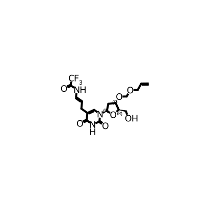 C=CCOCO[C@H]1C[C@H](n2cc(CC=CNC(=O)C(F)(F)F)c(=O)[nH]c2=O)O[C@@H]1CO